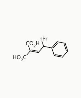 CCCC(C=C(C(=O)O)C(=O)O)c1ccccc1